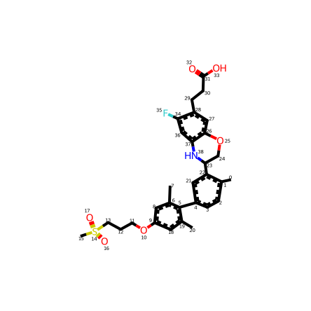 Cc1ccc(-c2c(C)cc(OCCCS(C)(=O)=O)cc2C)cc1C1COc2cc(CCC(=O)O)c(F)cc2N1